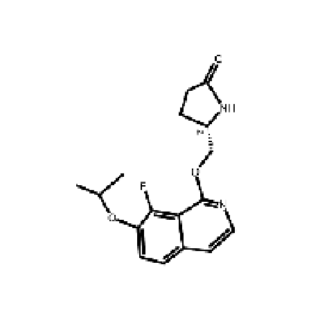 CC(C)Oc1ccc2ccnc(OC[C@@H]3CCC(=O)N3)c2c1F